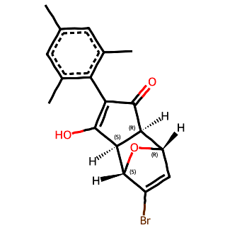 Cc1cc(C)c(C2=C(O)[C@H]3[C@@H](C2=O)[C@@H]2C=C(Br)[C@H]3O2)c(C)c1